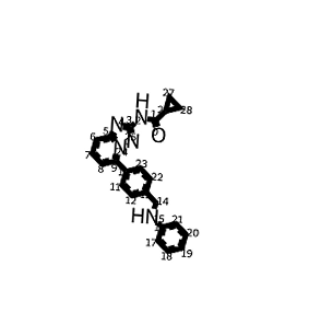 O=C(Nc1nc2cccc(-c3ccc(CNc4ccccc4)cc3)n2n1)C1CC1